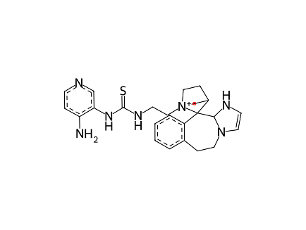 Nc1ccncc1NC(=S)NCC[N+]12CCC(CC1)C21c2ccccc2CCN2C=CNC21